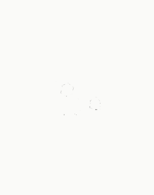 Cl.Fc1cc(C(Oc2ccccc2Cl)C2CNC2)ccc1Cl